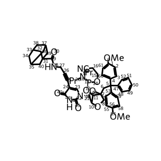 COc1ccc(C(CC23COC(C2OP(OCCC#N)N(C(C)C)C(C)C)[C@H](n2cc(C#CCNC(=O)C45CC6CC(CC(C6)C4)C5)c(=O)[nH]c2=O)O3)(c2ccccc2)c2ccc(OC)cc2)cc1